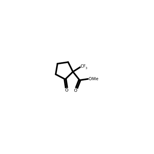 COC(=O)C1(C(F)(F)F)CCCC1=O